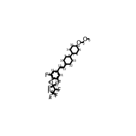 COCOC1CCC(C2CCC(C=Cc3cc(F)c(OC(F)(F)C(F)C(F)(F)F)c(F)c3)CC2)CC1